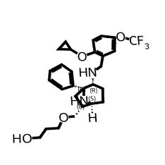 OCCCOC[C@@H]1C[C@]2(c3ccccc3)N[C@H]1CC[C@H]2NCc1cc(OC(F)(F)F)ccc1OC1CC1